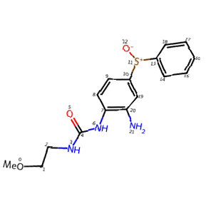 COCCNC(=O)Nc1ccc([S+]([O-])c2ccccc2)cc1N